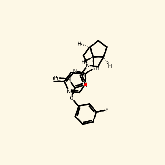 Cc1cc(N2C[C@H]3CC[C@@H](C2)[C@@H]3Nc2nc(Oc3cccc(F)c3)n(C(C)C)n2)ncn1